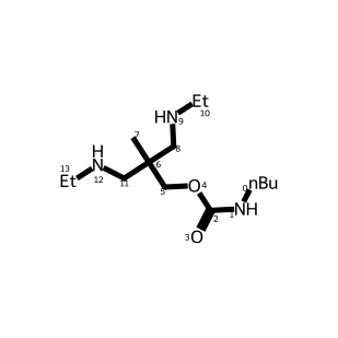 CCCCNC(=O)OCC(C)(CNCC)CNCC